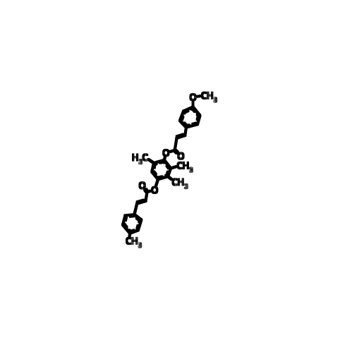 COc1ccc(/C=C/C(=O)Oc2c(C)cc(OC(=O)/C=C/c3ccc(C)cc3)c(C)c2C)cc1